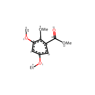 CCOc1cc(OCC)c(OC)c(C(=O)OC)c1